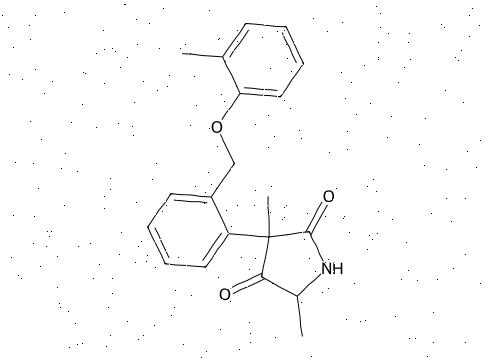 Cc1ccccc1OCc1ccccc1C1(C)C(=O)NC(C)C1=O